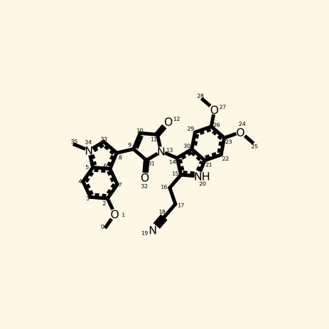 COc1ccc2c(c1)c(C1=CC(=O)N(c3c(CCC#N)[nH]c4cc(OC)c(OC)cc34)C1=O)cn2C